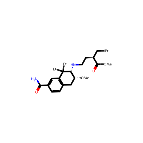 CCC1(CC)c2cc(C(N)=O)ccc2C[C@@H](OC)[C@H]1NCC[C@@H](CC(C)C)C(=O)OC